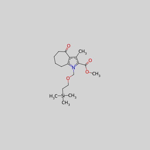 COC(=O)c1c(C)c2c(n1COCC[Si](C)(C)C)CCCCC2=O